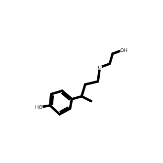 CC(CCOCCO)c1ccc(O)cc1